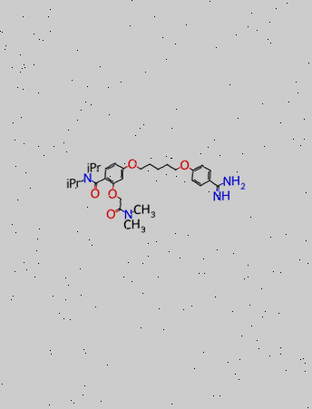 CC(C)N(C(=O)c1ccc(OCCCCCOc2ccc(C(=N)N)cc2)cc1OCC(=O)N(C)C)C(C)C